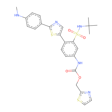 CNc1ccc(-c2ncc(-c3ccc(NC(=O)OCc4nccs4)cc3S(=O)(=O)NC(C)(C)C)s2)cc1